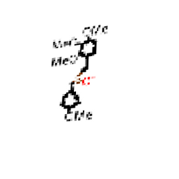 COc1ccc(C[S+]([O-])/C=C/c2ccc(OC)c(OC)c2OC)cc1